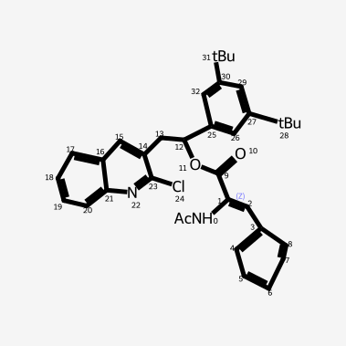 CC(=O)N/C(=C\c1ccccc1)C(=O)OC(Cc1cc2ccccc2nc1Cl)c1cc(C(C)(C)C)cc(C(C)(C)C)c1